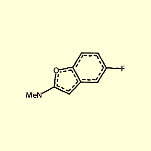 CNc1cc2cc(F)ccc2o1